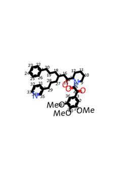 COc1cc(C(=O)C(=O)N2CCCCC2C(=O)CC(CCCc2ccccc2)CCCc2cccnc2)cc(OC)c1OC